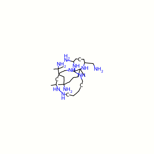 CC1CCCNC2(NCCCCCNN1)NC(N)CCCC(CN)NC2(C)CCCC(C)(N)CCC(C)(C)N